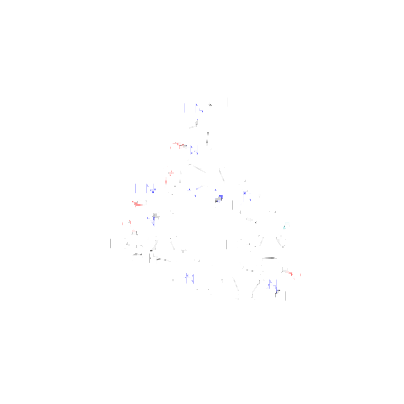 CNc1ccn(-c2ccnc3c2cc(CN2CC=C(c4c(C)cc(C(=O)N(C)c5ccc(C6CCN(Cc7ccc8c(c7)C(C)(C)C(=O)N8[C@H]7CCC(=O)NC7=O)CC6)cc5)cc4F)CC2)n3C)c(=O)c1